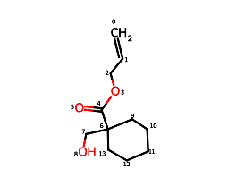 C=CCOC(=O)C1(CO)CCCCC1